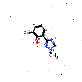 CCc1cccc(-c2ncn(C)n2)c1O